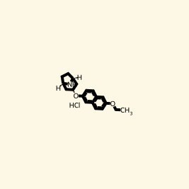 CCOc1ccc2cc(O[C@@H]3C[C@H]4CC[C@@H](C3)N4)ccc2c1.Cl